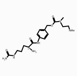 CNCCN(C)C(=O)OCc1ccc(NC(=O)[C@@H](N)CCCNC(N)=O)cc1